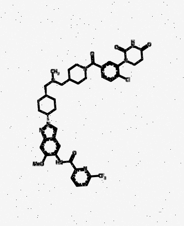 COc1cc2nn([C@H]3CC[C@H](CN(C)CC4CCN(C(=O)c5ccc(Cl)c(N6CCC(=O)NC6=O)c5)CC4)CC3)cc2cc1NC(=O)c1cccc(C(F)(F)F)n1